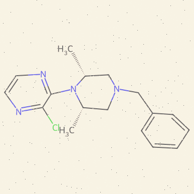 C[C@@H]1CN(Cc2ccccc2)C[C@H](C)N1c1nccnc1Cl